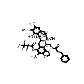 COc1c(C)cc2c(c1O)[C@@H]1C3Cc4c(OC(=O)C(F)(F)C(F)(F)C(F)(F)F)c(C)c5c(c4[C@H](COC(=O)CCc4ccccc4)N3[C@@H](C#N)[C@@H](C2)N1C)OCO5